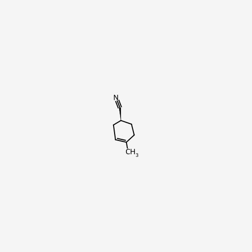 CC1=CC[C@@H](C#N)CC1